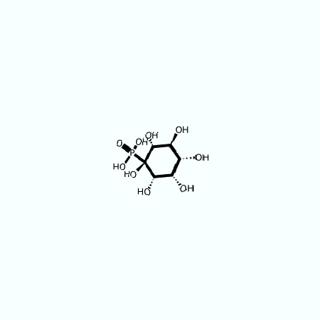 O=P(O)(O)[C@]1(O)[C@H](O)[C@@H](O)[C@H](O)[C@H](O)[C@@H]1O